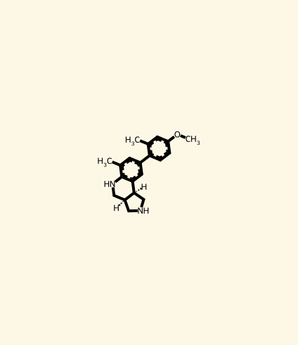 COc1ccc(-c2cc(C)c3c(c2)[C@H]2CNC[C@H]2CN3)c(C)c1